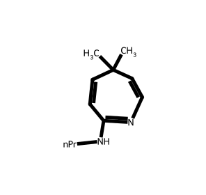 CCCNC1=NC=CC(C)(C)C=C1